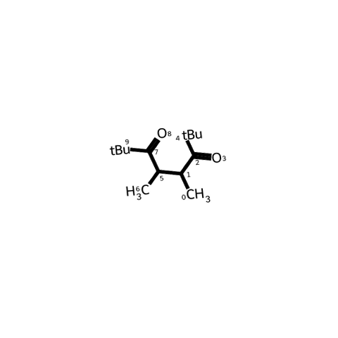 CC(C(=O)C(C)(C)C)C(C)C(=O)C(C)(C)C